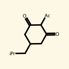 CC(=O)C1C(=O)CC(CC(C)C)CC1=O